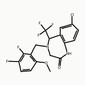 COc1ccc(F)c(F)c1CN1CC(=O)Nc2ccc(Cl)cc2C1C(F)(F)F